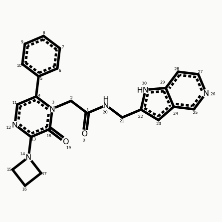 O=C(Cn1c(-c2ccccc2)cnc(N2CCC2)c1=O)NCc1cc2cnccc2[nH]1